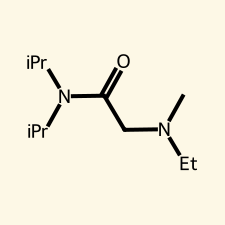 CCN(C)CC(=O)N(C(C)C)C(C)C